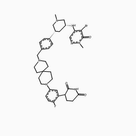 CN1C[C@H](Nc2cnn(C)c(=O)c2Br)C[C@H](c2ccc(CN3CCC4(CC3)CCN(c3ccc(F)c(C5CCC(=O)NC5=O)c3)CC4)cc2)C1